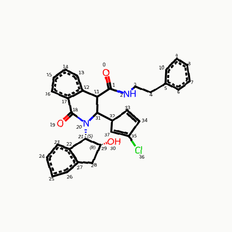 O=C(NCCc1ccccc1)C1c2ccccc2C(=O)N([C@H]2c3ccccc3C[C@H]2O)C1C1C=CC(Cl)=C1